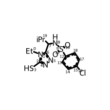 CCn1c(S)nnc1C(NS(=O)(=O)c1ccc(Cl)cc1)C(C)C